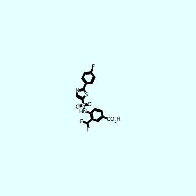 O=C(O)c1ccc(NS(=O)(=O)c2cnc(-c3ccc(F)cc3)s2)c(C(F)F)c1